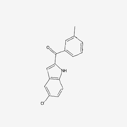 Cc1cccc(C(=O)c2cc3cc(Cl)ccc3[nH]2)c1